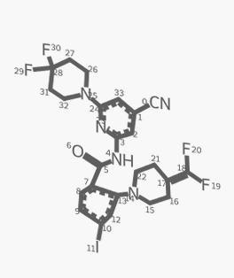 N#Cc1cc(NC(=O)c2ccc(I)cc2N2CCC(=C(F)F)CC2)nc(N2CCC(F)(F)CC2)c1